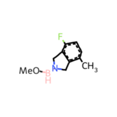 COBN1Cc2c(C)ccc(F)c2C1